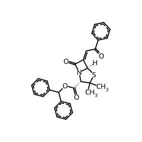 CC1(C)S[C@@H]2/C(=C\C(=O)c3ccccc3)C(=O)N2[C@H]1C(=O)OC(c1ccccc1)c1ccccc1